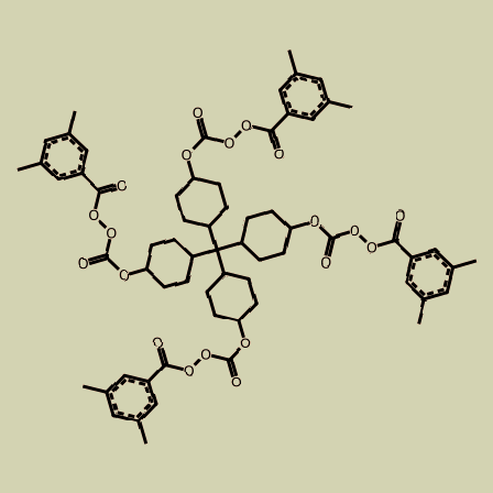 Cc1cc(C)cc(C(=O)OOC(=O)OC2CCC(C(C3CCC(OC(=O)OOC(=O)c4cc(C)cc(C)c4)CC3)(C3CCC(OC(=O)OOC(=O)c4cc(C)cc(C)c4)CC3)C3CCC(OC(=O)OOC(=O)c4cc(C)cc(C)c4)CC3)CC2)c1